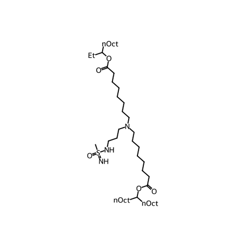 CCCCCCCCC(CC)OC(=O)CCCCCCCN(CCCCCCCC(=O)OC(CCCCCCCC)CCCCCCCC)CCCNS(C)(=N)=O